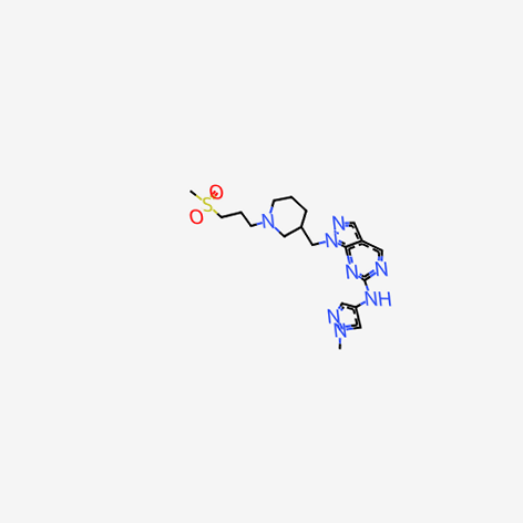 Cn1cc(Nc2ncc3cnn(CC4CCCN(CCCS(C)(=O)=O)C4)c3n2)cn1